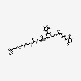 CCCOC(=O)CCCOCCOCCNC(=O)COCC(=O)OCCN(CCOC(=O)CCCCN1C(=O)C=CC1=O)CC(=O)N1CCCC1=S